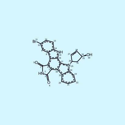 O=C1NC(=O)c2c1c1c3cc(Br)ccc3[nH]c1c1c2c2ccccc2n1C1C=C[C@@H](O)C1